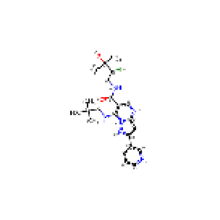 CC(C)(C)CNc1c(C(=O)NCC(F)C(C)(C)O)cnc2cc(-c3cccnc3)nn12